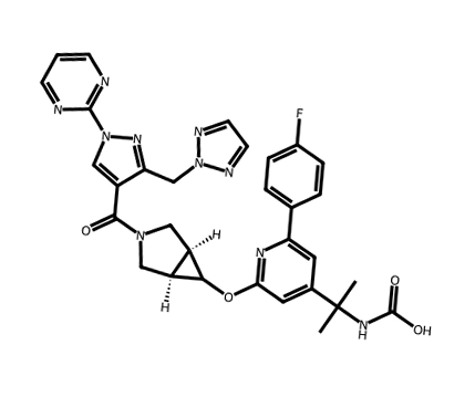 CC(C)(NC(=O)O)c1cc(OC2[C@H]3CN(C(=O)c4cn(-c5ncccn5)nc4Cn4nccn4)C[C@@H]23)nc(-c2ccc(F)cc2)c1